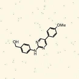 COc1ccc(-c2cnc(Nc3ccc(CO)cc3)nc2)cc1